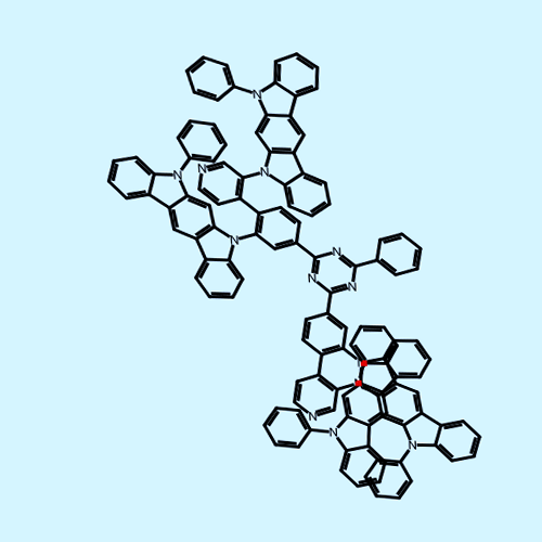 c1ccc(-c2nc(-c3ccc(-c4ccncc4-n4c5ccccc5c5cc6c7ccccc7n(-c7ccccc7)c6cc54)c(-n4c5ccccc5c5cc6c7ccccc7n(-c7ccccc7)c6cc54)c3)nc(-c3ccc(-c4ccncc4-n4c5ccccc5c5cc6c7ccccc7n(-c7ccccc7)c6cc54)c(-n4c5ccccc5c5cc6c7ccccc7n(-c7ccccc7)c6cc54)c3)n2)cc1